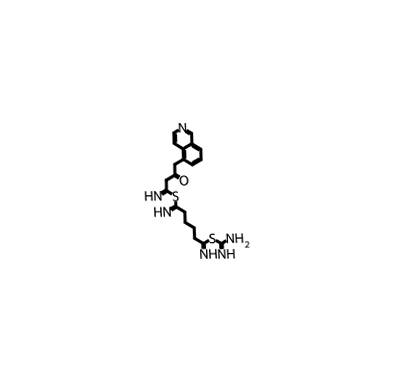 N=C(N)SC(=N)CCCCC(=N)SC(=N)CC(=O)Cc1cccc2cnccc12